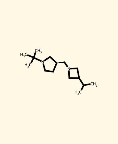 CC(C)C1CN(C[C@H]2CCN(C(C)(C)C)C2)C1